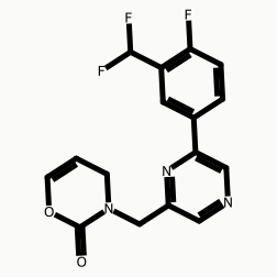 O=C1OC=CCN1Cc1cncc(-c2ccc(F)c(C(F)F)c2)n1